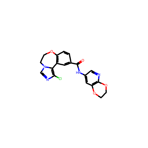 O=C(Nc1cnc2c(c1)OCCO2)c1ccc2c(c1)-c1c(Cl)ncn1CCO2